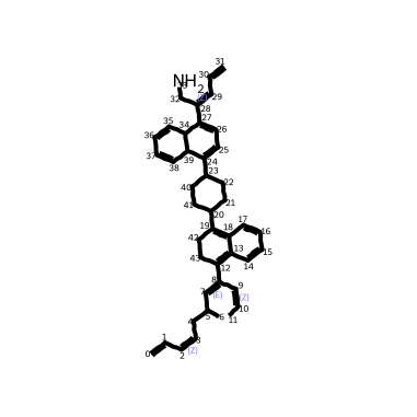 C=C/C=C\CC(C)/C=C(\C=C/C)C1=c2ccccc2=C(C2CCC(C3=CC=C(/C(=C/C=C)CN)C4C=CC=CC34)CC2)CC1